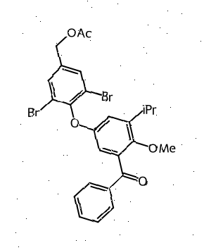 COc1c(C(=O)c2ccccc2)cc(Oc2c(Br)cc(COC(C)=O)cc2Br)cc1C(C)C